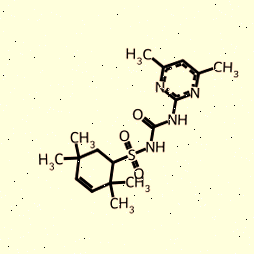 Cc1cc(C)nc(NC(=O)NS(=O)(=O)C2CC(C)(C)C=CC2(C)C)n1